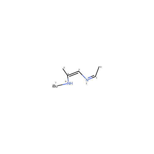 C/C=N\C=C(\C)NC(C)CC